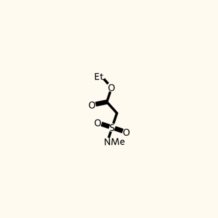 CCOC(=O)CS(=O)(=O)NC